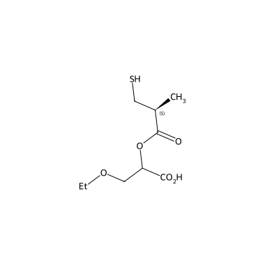 CCOCC(OC(=O)[C@H](C)CS)C(=O)O